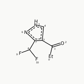 CCC(=O)c1c[nH]nc1C(F)F